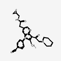 Cc1c(C(=O)CN2CCCCC2)c2ncc(CC(=O)NCC3CO3)cc2n1-c1ccc(C#N)cc1